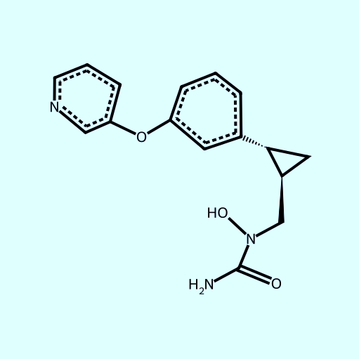 NC(=O)N(O)C[C@@H]1C[C@H]1c1cccc(Oc2cccnc2)c1